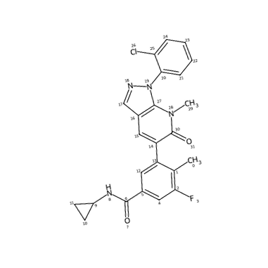 Cc1c(F)cc(C(=O)NC2CC2)cc1-c1cc2cnn(-c3ccccc3Cl)c2n(C)c1=O